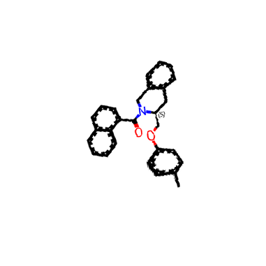 Cc1ccc(OC[C@@H]2Cc3ccccc3CN2C(=O)c2cccc3ccccc23)cc1